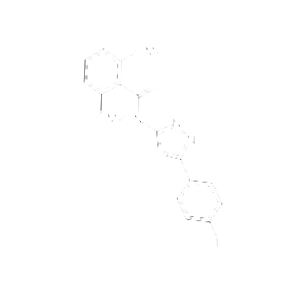 COc1cccc(OC)c1C(=O)Nc1nnc(-c2ccc(F)cc2)s1